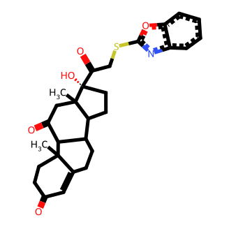 CC12CCC(=O)C=C1CCC1C2C(=O)CC2(C)C1CC[C@]2(O)C(=O)CSc1nc2ccccc2o1